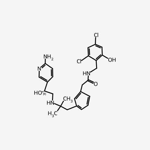 CC(C)(Cc1cccc(CC(=O)NCc2c(O)cc(Cl)cc2Cl)c1)NC[C@H](O)c1ccc(N)nc1